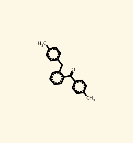 Cc1ccc(Cc2ccccc2C(=O)c2ccc(C)cc2)cc1